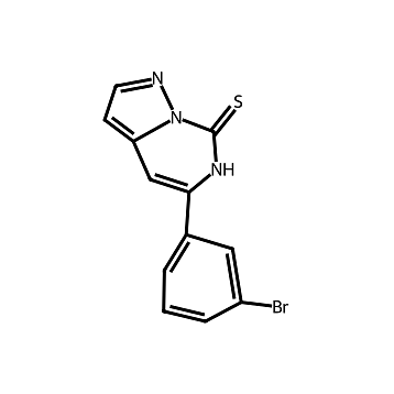 S=c1[nH]c(-c2cccc(Br)c2)cc2ccnn12